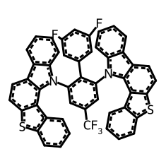 Fc1cc(F)cc(-c2c(-n3c4ccccc4c4ccc5sc6ccccc6c5c43)cc(C(F)(F)F)cc2-n2c3ccccc3c3ccc4sc5ccccc5c4c32)c1